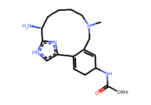 COC(=O)NC1C=C2CN(C)CCCC[C@H](N)c3nc(c[nH]3)C2=CC1